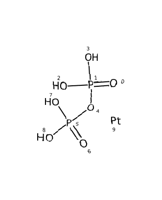 O=P(O)(O)OP(=O)(O)O.[Pt]